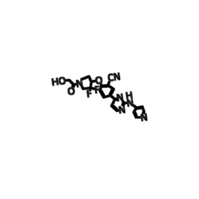 N#Cc1cc(-c2ccnc(Nc3ccncc3)n2)ccc1OC1CCN(C(=O)CO)CC1(F)F